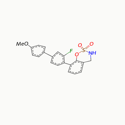 COc1ccc(-c2ccc(-c3cccc4c3OS(=O)(=O)NC4)c(F)c2)cc1